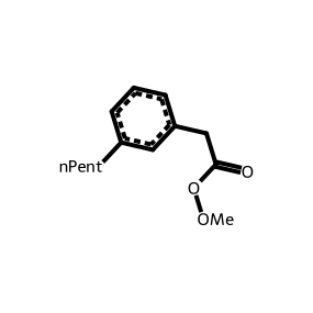 CCCCCc1cccc(CC(=O)OOC)c1